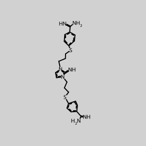 N=C(N)c1ccc(SCCCn2ccn(CCCSc3ccc(C(=N)N)cc3)c2=N)cc1